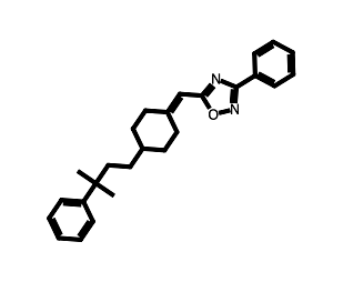 CC(C)(CCC1CCC(=Cc2nc(-c3ccccc3)no2)CC1)c1ccccc1